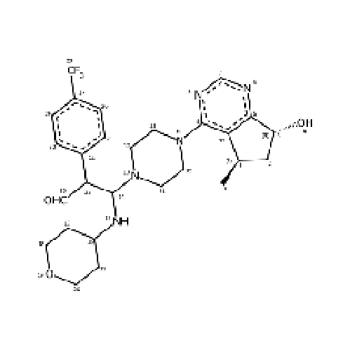 C[C@@H]1C[C@@H](O)c2ncnc(N3CCN(C(NC4CCOCC4)C(C=O)c4ccc(C(F)(F)F)cc4)CC3)c21